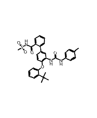 Cc1ccc(NC(=O)Nc2cc(-c3ccccc3C(=O)NS(C)(=O)=O)ccc2Oc2ccccc2C(C)(C)C)cc1